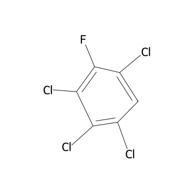 Fc1c(Cl)cc(Cl)c(Cl)c1Cl